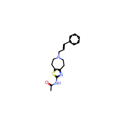 CC(=O)Nc1nc2c(s1)CCN(CC=Cc1ccccc1)CC2